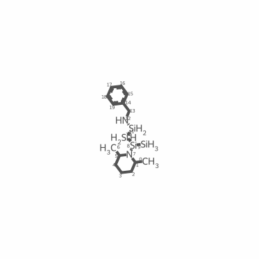 CC1CCCC(C)N1[SiH]([SiH3])[SiH2][SiH2]NCc1ccccc1